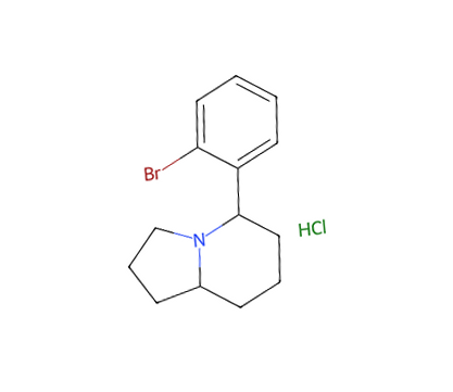 Brc1ccccc1C1CCCC2CCCN21.Cl